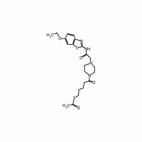 CCOc1ccc2nc(NC(=O)CN3CCN(C(=O)CCCCSC(C)=O)CC3)sc2c1